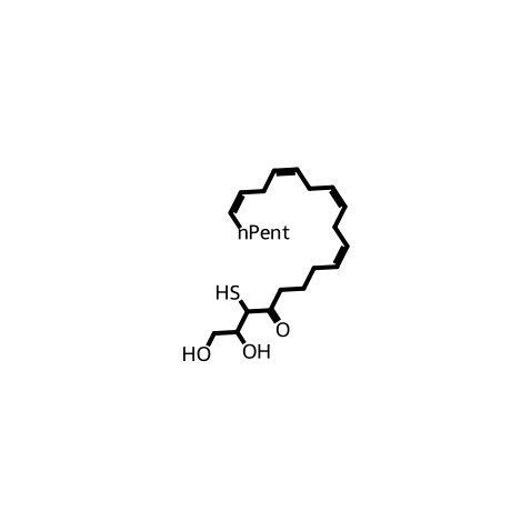 CCCCC/C=C\C/C=C\C/C=C\C/C=C\CCCC(=O)C(S)C(O)CO